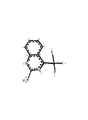 Nc1nc(C(F)(F)F)c2ccccc2n1